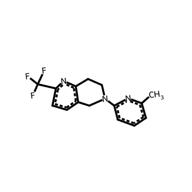 Cc1cccc(N2CCc3nc(C(F)(F)F)ccc3C2)n1